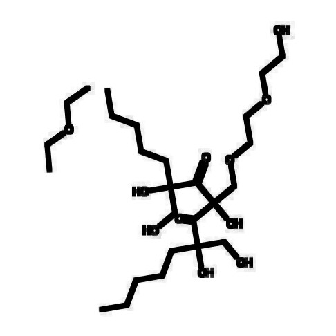 CCCCCC(O)(CO)C(=O)C(O)(COCCOCCO)C(=O)C(O)(CO)CCCCC.CCOCC